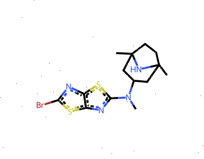 CN(c1nc2sc(Br)nc2s1)C1CC2(C)CCC(C)(C1)N2